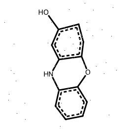 Oc1ccc2c(c1)Nc1ccccc1O2